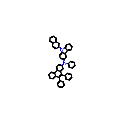 c1ccc(-c2c(-c3ccccc3)c3cc(N(c4ccccc4)c4ccc5c(c4)c4ccccc4n5-c4ccc5ccccc5c4)ccc3c3ccccc23)cc1